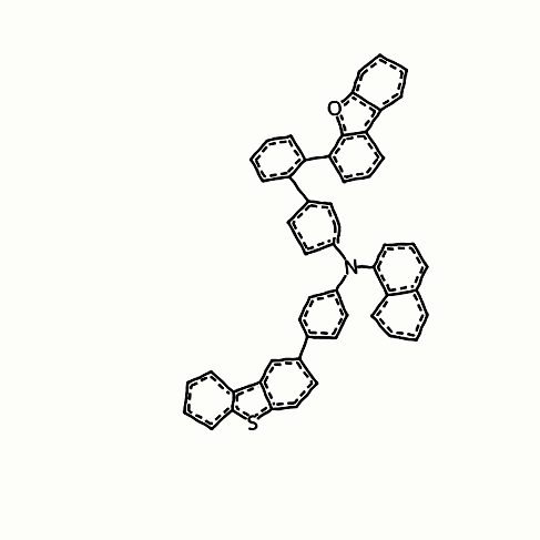 c1ccc(-c2cccc3c2oc2ccccc23)c(-c2ccc(N(c3ccc(-c4ccc5sc6ccccc6c5c4)cc3)c3cccc4ccccc34)cc2)c1